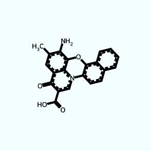 Cc1cc2c(=O)c(C(=O)O)cn3c2c(c1N)Oc1c-3ccc2ccccc12